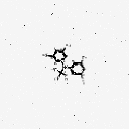 Fc1cc(F)cc(N(c2cc(F)cc(F)c2)C(F)(F)F)c1